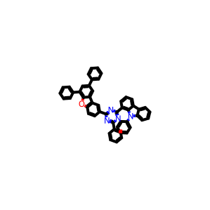 c1ccc(-c2cc(-c3ccccc3)c3oc4ccc(-c5nc(-c6ccccc6)nc(-c6cccc7c8ccccc8n(-c8ccccc8)c67)n5)cc4c3c2)cc1